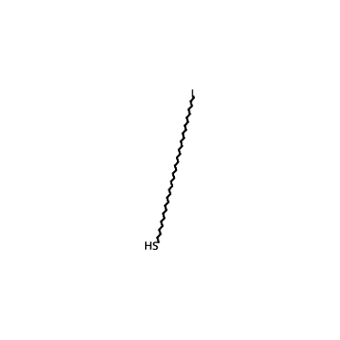 SCCCCCCCCCCCCCCCCCCCCCCCCCCCCCCCCCCCCCI